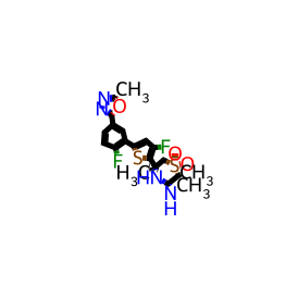 Cc1nnc(-c2ccc(F)c(-c3cc(F)c([C@]4(C)CS(=O)(=O)C(C)(C)C(=N)N4)s3)c2)o1